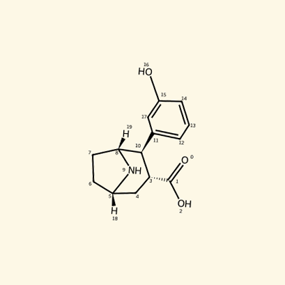 O=C(O)[C@@H]1C[C@@H]2CC[C@@H](N2)[C@H]1c1cccc(O)c1